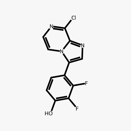 Oc1ccc(-c2cnc3c(Cl)nccn23)c(F)c1F